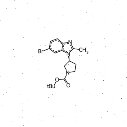 Cc1nc2ccc(Br)cc2n1[C@H]1CCN(C(=O)OC(C)(C)C)C1